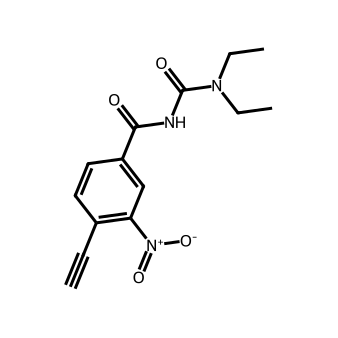 C#Cc1ccc(C(=O)NC(=O)N(CC)CC)cc1[N+](=O)[O-]